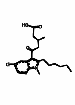 CCCCCCc1c(C(=O)CC(C)CC(=O)O)c2cc(Cl)ccc2n1C